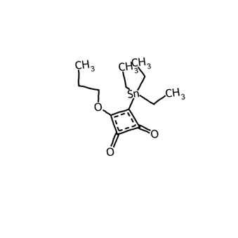 CCCOc1[c]([Sn]([CH2]C)([CH2]C)[CH2]C)c(=O)c1=O